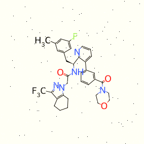 Cc1cc(F)cc(C[C@H](NC(=O)Cn2nc(C(F)(F)F)c3c2CCCC3)c2ncccc2-c2cccc(C(=O)N3CCOCC3)c2)c1